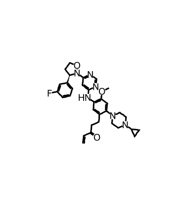 C=CC(=O)CCc1cc(Nc2cc(N3OCC[C@@H]3c3cccc(F)c3)ncn2)c(OC)cc1N1CCN(C2CC2)CC1